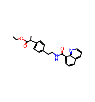 CCOC(=O)C(C)c1ccc(CCNC(=O)c2cccc3cccnc23)cc1